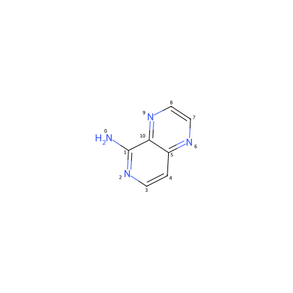 Nc1nccc2nccnc12